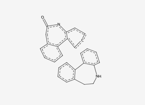 O=c1cc2ccccc2c2ccccc2n1.c1ccc2c(c1)CCNc1ccccc1-2